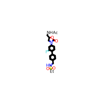 CCS(=O)(=O)NCc1ccc(-c2ccc(N3CC(CNC(C)=O)OC3=O)cc2F)cc1